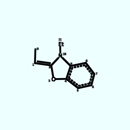 CC=C1Oc2ccccc2N1CC